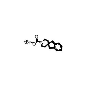 CC(C)(C)OC(=O)N1CCC2(C=c3ccccc3=C2)CC1